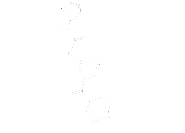 CN1CCC(C(=O)c2cccc(NC(=S)Nc3ccco3)c2)CC1